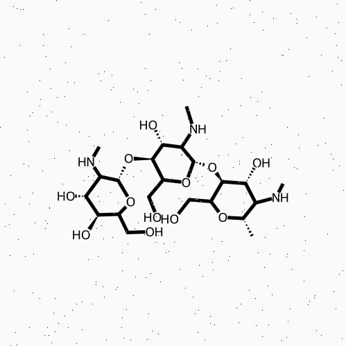 CNC1[C@H](O[C@@H]2C(CO)O[C@@H](O[C@@H]3C(CO)O[C@@H](C)C(NC)[C@H]3O)C(NC)[C@H]2O)OC(CO)[C@@H](O)[C@@H]1O